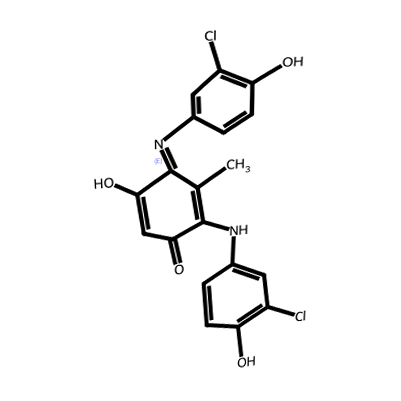 CC1=C(Nc2ccc(O)c(Cl)c2)C(=O)C=C(O)/C1=N/c1ccc(O)c(Cl)c1